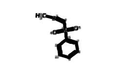 CB=CS(=O)(=O)c1ccccc1